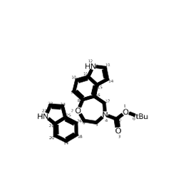 CC(C)(C)OC(=O)N1CCOc2ccc3[nH]ccc3c2C1.c1ccc2[nH]ccc2c1